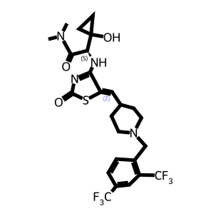 CN(C)C(=O)[C@@H](NC1=NC(=O)S/C1=C\C1CCN(Cc2ccc(C(F)(F)F)cc2C(F)(F)F)CC1)C1(O)CC1